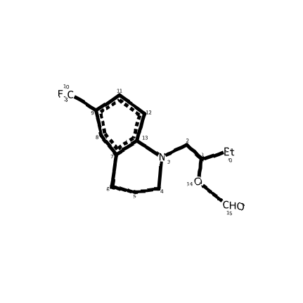 CCC(CN1CCCc2cc(C(F)(F)F)ccc21)OC=O